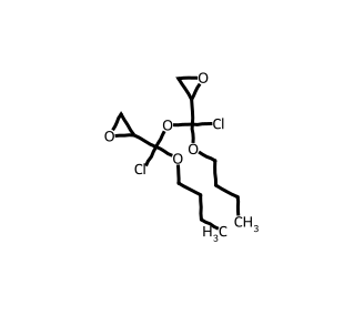 CCCCOC(Cl)(OC(Cl)(OCCCC)C1CO1)C1CO1